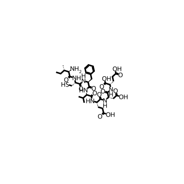 CC[C@H](C)[C@H](N)C(=O)N[C@@H](CS)C(=O)N[C@@H](Cc1ccccc1)C(=O)N[C@H](C(=O)N[C@@H](CCC(=O)O)C(=O)N[C@@H](CC(=O)O)C(=O)N[C@@H](CCC(=O)O)C(=O)O)C(C)C